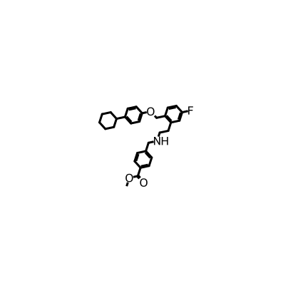 COC(=O)c1ccc(CNCCc2cc(F)ccc2COc2ccc(C3CCCCC3)cc2)cc1